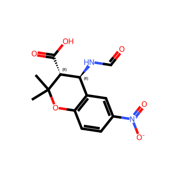 CC1(C)Oc2ccc([N+](=O)[O-])cc2[C@H](NC=O)[C@H]1C(=O)O